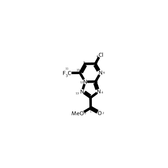 COC(=O)c1nc2nc(Cl)cc(C(F)(F)F)n2n1